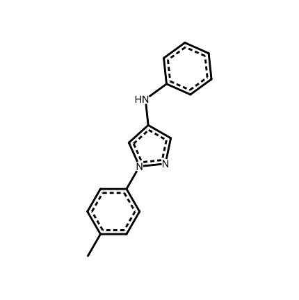 Cc1ccc(-n2cc(Nc3ccccc3)cn2)cc1